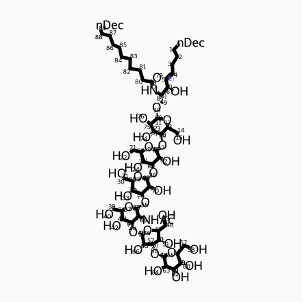 CCCCCCCCCCCCC/C=C/[C@@H](O)[C@H](CO[C@@H]1OC(CO)[C@@H](O[C@@H]2OC(CO)[C@H](O)[C@H](O[C@H]3OC(CO)[C@H](O)[C@H](O[C@@H]4OC(CO)[C@H](O)[C@H](O[C@@H]5OC(CO)[C@H](O)[C@H](O[C@H]6OC(CO)[C@H](O)[C@H](O)C6O)C5O)C4NC(C)=O)C3O)C2O)[C@H](O)C1O)NC(=O)CCCCCCCCCCCCCCCCCCC